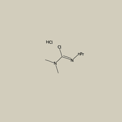 CCCN=C(Cl)N(C)C.Cl